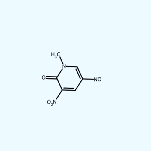 Cn1cc(N=O)cc([N+](=O)[O-])c1=O